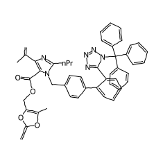 C=C1OC(C)=C(COC(=O)c2c(C(=C)C)nc(CCC)n2Cc2ccc(-c3ccccc3-c3nnnn3C(c3ccccc3)(c3ccccc3)c3ccccc3)cc2)O1